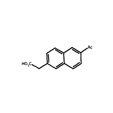 CC(=O)c1ccc2cc(CC(=O)O)ccc2c1